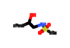 CCCCCC(O)CNS(=O)(=O)CCCC